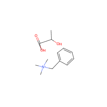 CC(O)C(=O)O.C[N+](C)(C)Cc1ccccc1